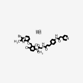 Cc1nc2c(OCc3c(Cl)ccc(N(C)C(=O)CNC(=O)C=Cc4ccc(NC(=O)Cc5ccncc5)cc4)c3Cl)cccn2c1Br.Cl.Cl